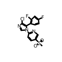 CS(=O)(=O)c1ccc(-n2cnc(Cl)c2-c2ccc(F)cc2F)nc1